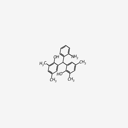 Cc1cc(C)c(O)c(C(c2ccccc2N)c2cc(C)cc(C)c2O)c1